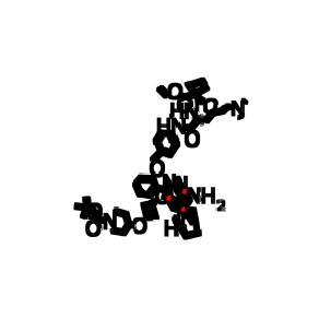 CCOC(=O)C1(C(=O)N[C@@H](CCCCN(C)C)C(=O)Nc2ccc(COc3ccccc3-c3cc(N4CC5CC[C@H](C4)N5c4ccnc(OC5CC(OC6CCN(C(=O)OC(C)(C)C)CC6)C5)c4)c(N)nn3)cc2)CCC1